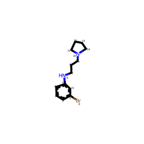 Brc1cccc(NCCCN2CCCC2)c1